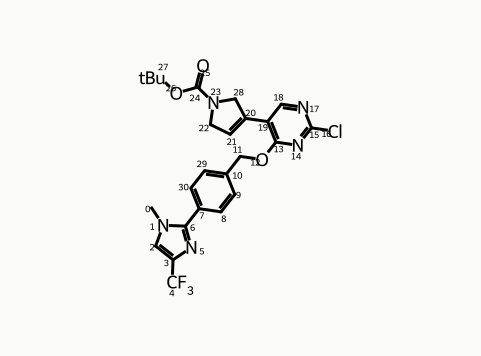 Cn1cc(C(F)(F)F)nc1-c1ccc(COc2nc(Cl)ncc2C2=CCN(C(=O)OC(C)(C)C)C2)cc1